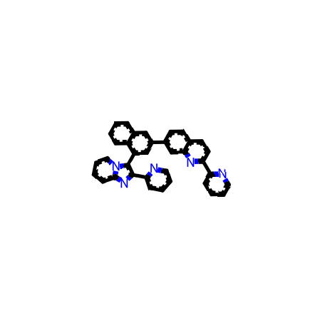 c1ccc(-c2ccc3ccc(-c4cc(-c5c(-c6ccccn6)nc6ccccn56)c5ccccc5c4)cc3n2)nc1